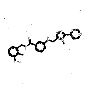 COc1cccc(CNC(=O)c2cccc(NCc3nnc(-c4ccncn4)n3C)c2)c1C